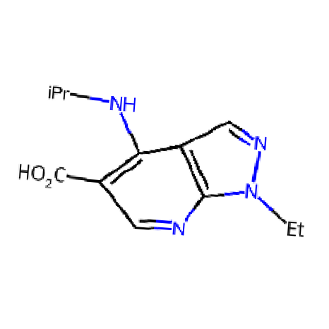 CCn1ncc2c(NC(C)C)c(C(=O)O)cnc21